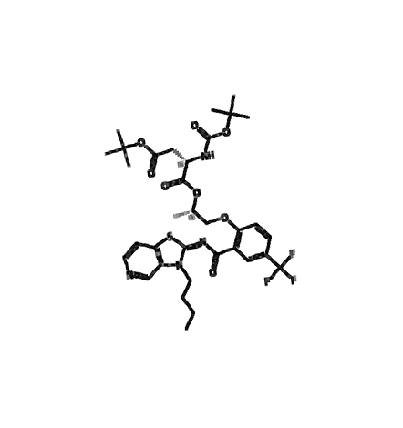 CCCCn1c(=NC(=O)c2cc(C(F)(F)F)ccc2OC[C@H](C)OC(=O)[C@H](CC(=O)OC(C)(C)C)NC(=O)OC(C)(C)C)sc2ccncc21